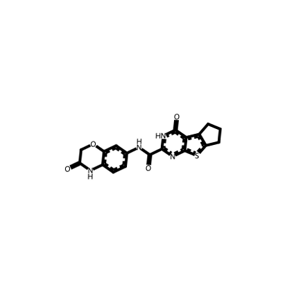 O=C1COc2cc(NC(=O)c3nc4sc5c(c4c(=O)[nH]3)CCC5)ccc2N1